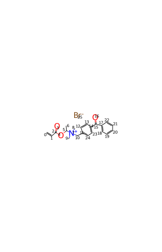 C=CC(=O)OC(C)[N+](C)(C)Cc1ccc(C(=O)c2ccccc2)cc1.[Br-]